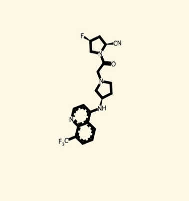 N#C[C@@H]1C[C@H](F)CN1C(=O)CN1CC[C@@H](Nc2ccnc3c(C(F)(F)F)cccc23)C1